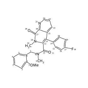 COc1ccccc1CN(C)C(=O)c1c(-c2ccc(F)cc2)c2cccnc2c(=O)n1C